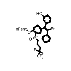 CCCCCOc1ccc(C(=C(CC)c2ccccc2)c2cccc(O)c2)cc1[S+]([O-])CCCC(F)(F)C(F)(F)F